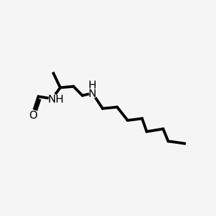 CCCCCCCCNCCC(C)NC=O